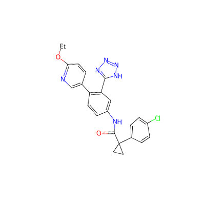 CCOc1ccc(-c2ccc(NC(=O)C3(c4ccc(Cl)cc4)CC3)cc2-c2nnn[nH]2)cn1